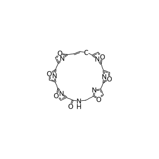 O=C1NCc2nc(co2)-c2nc(co2)-c2nc(co2)C/C=C/c2nc(co2)-c2nc(co2)-c2nc1co2